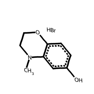 Br.CN1CCOc2ccc(O)cc21